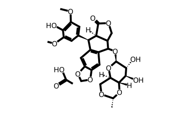 CC(=O)O.COc1cc([C@@H]2c3cc4c(cc3C(O[C@@H]3O[C@@H]5CO[C@@H](C)O[C@H]5[C@H](O)[C@H]3O)C3COC(=O)[C@@H]32)OCO4)cc(OC)c1O